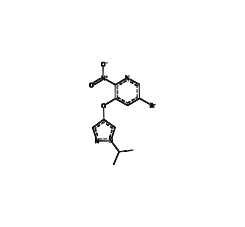 CC(C)n1cc(Oc2cc(Br)cnc2[N+](=O)[O-])cn1